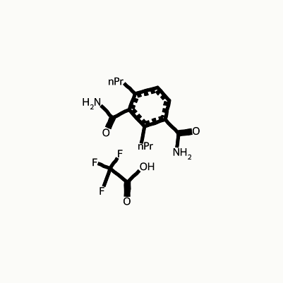 CCCc1ccc(C(N)=O)c(CCC)c1C(N)=O.O=C(O)C(F)(F)F